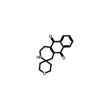 O=C1C2=C(CC3(CCOCC3)NCC2)C(=O)c2ccccc21